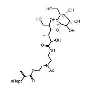 C=C(CCCCCCC)C(=O)OCCN(CCNC(=O)C(O)C(C)C(O[C@@H]1OC(CO)[C@H](O)[C@H](O)C1O)C(O)CO)C(C)=O